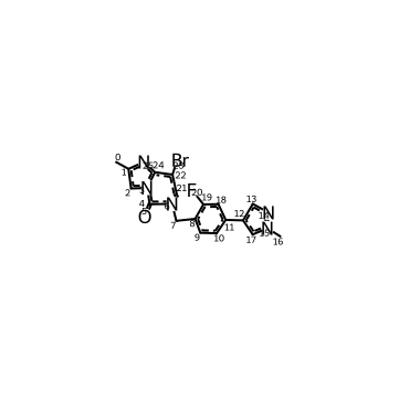 Cc1cn2c(=O)n(Cc3ccc(-c4cnn(C)c4)cc3F)cc(Br)c2n1